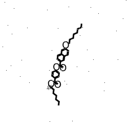 CCCCCCCCOc1ccc2cc(C(=O)Oc3ccc(C(=O)O[C@@H](C)CCCCCC)cc3)ccc2c1